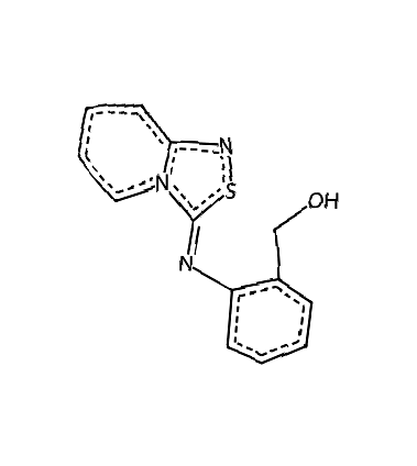 OCc1ccccc1N=c1snc2ccccn12